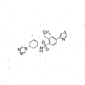 CCc1cc(-c2cscn2)ccc1S(=O)(=O)N[C@H]1CCC[C@@H](n2cnnc2)C1